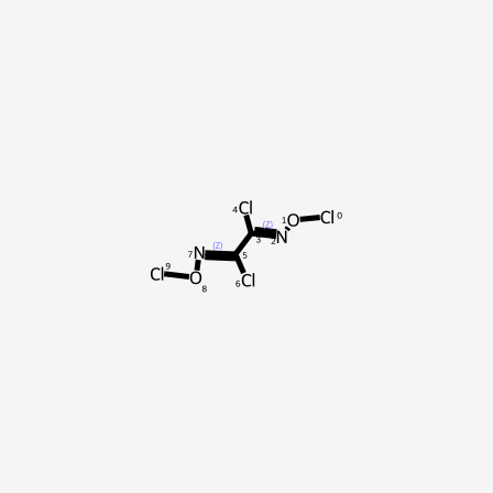 ClO/N=C(Cl)/C(Cl)=N/OCl